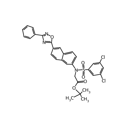 CC(C)(C)OC(=O)CN(c1ccc2cc(-c3nc(-c4ccccc4)no3)ccc2c1)S(=O)(=O)c1cc(Cl)cc(Cl)c1